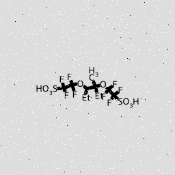 CCC(OC(F)(F)C(F)(F)S(=O)(=O)O)C(C)(CC)OC(F)(F)C(F)(F)S(=O)(=O)O